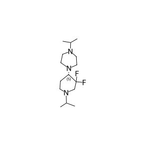 CC(C)N1CCN([C@H]2CCN(C(C)C)CC2(F)F)CC1